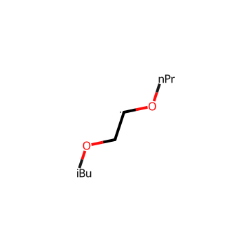 CCCO[CH]COC(C)CC